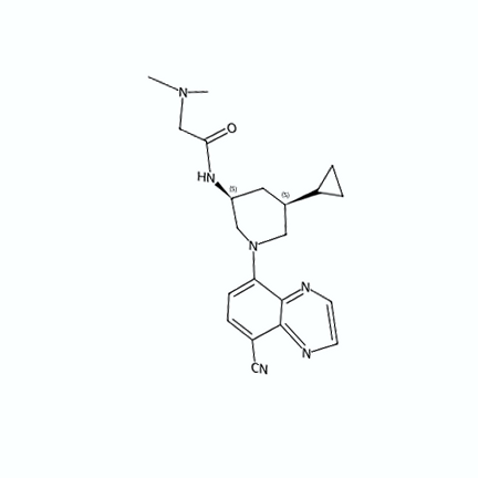 CN(C)CC(=O)N[C@H]1C[C@@H](C2CC2)CN(c2ccc(C#N)c3nccnc23)C1